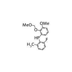 COCOc1c(OC)cccc1Pc1c(C)cccc1F